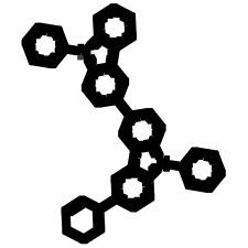 C1=CC(c2ccc3c(c2)c2cc(-c4ccc5c(c4)c4ccccc4n5-c4ccccc4)ccc2n3-c2ccccc2)=CCC1